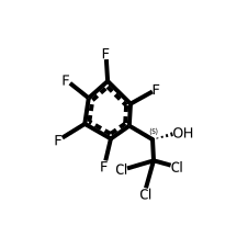 O[C@@H](c1c(F)c(F)c(F)c(F)c1F)C(Cl)(Cl)Cl